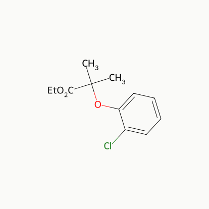 CCOC(=O)C(C)(C)Oc1ccccc1Cl